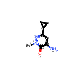 CC(C)n1nc(C2CC2)cc(N)c1=O